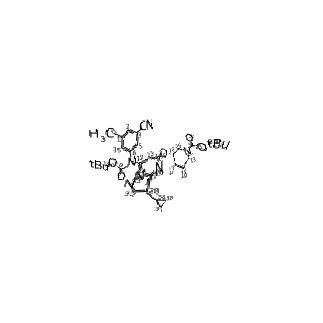 Cc1cc(C#N)cc(N(C(=O)OC(C)(C)C)c2cc(O[C@H]3CCCN(C(=O)OC(C)(C)C)C3)nc3c(C4CC4)cnn23)c1